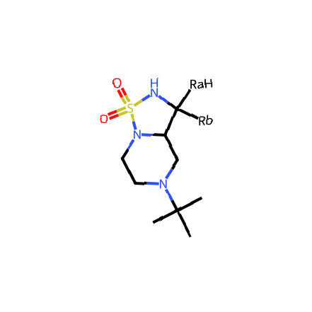 CC(C)(C)N1CCN2C(C1)[C]([Rb])([RaH])NS2(=O)=O